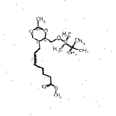 COC(=O)CCC/C=C\C[C@H]1CO[C@@H](C)O[C@H]1CO[Si](C)(C)C(C)(C)C